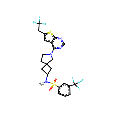 CN(C1CC2(CCN(c3ncnc4sc(CC(F)(F)F)cc34)C2)C1)S(=O)(=O)c1cccc(C(F)(F)F)c1